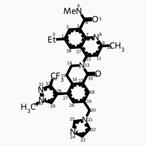 CCc1cc(C(=O)NC)c2nc(C)cc(N3CCc4c(cc(Cn5ccnc5)cc4-c4cn(C)nc4C(F)(F)F)C3=O)c2c1